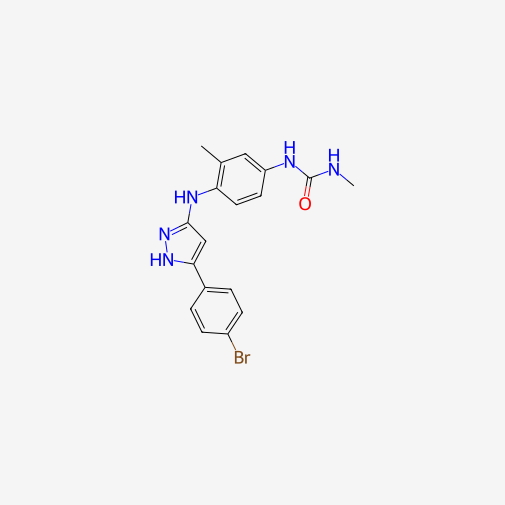 CNC(=O)Nc1ccc(Nc2cc(-c3ccc(Br)cc3)[nH]n2)c(C)c1